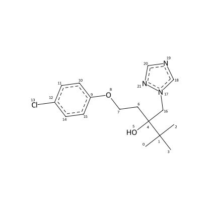 CC(C)(C)C(O)(CCOc1ccc(Cl)cc1)Cn1cncn1